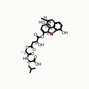 CC(C)C[C@H](NC(=O)[C@H](C)OC(=O)C[C@H](O)C(=O)OC1=CC[C@@]2(O)[C@H]3Cc4ccc(O)c5c4[C@@]2(CCN3C)[C@H]1O5)C(=O)O